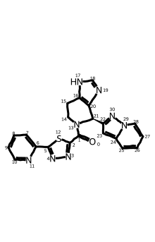 O=C(c1nnc(-c2ccccn2)s1)N1CCc2[nH]cnc2[C@H]1c1cc2ccccn2n1